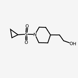 O=S(=O)(C1CC1)N1CCC(CCO)CC1